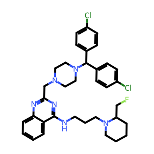 FCC1CCCCN1CCCNc1nc(CN2CCN(C(c3ccc(Cl)cc3)c3ccc(Cl)cc3)CC2)nc2ccccc12